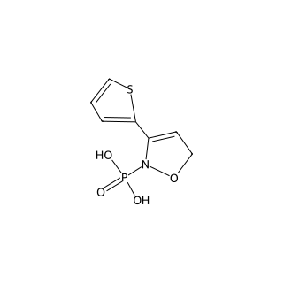 O=P(O)(O)N1OCC=C1c1cccs1